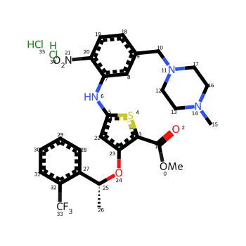 COC(=O)c1sc(Nc2cc(CN3CCN(C)CC3)ccc2[N+](=O)[O-])cc1O[C@H](C)c1ccccc1C(F)(F)F.Cl.Cl